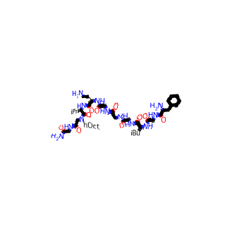 CCCCCCCCN(CC(=O)NCC(N)=O)C(=O)C(NC(=O)[C@H](CCN)NC(=O)CNC(=O)CNC(=O)CNC(=O)C(NC(=O)CNC(=O)C(N)CC1CCCCC1)C(C)CC)C(C)C